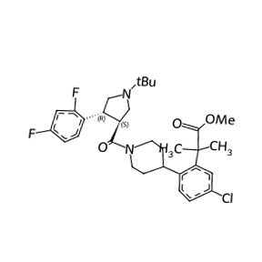 COC(=O)C(C)(C)c1cc(Cl)ccc1C1CCN(C(=O)[C@@H]2CN(C(C)(C)C)C[C@H]2c2ccc(F)cc2F)CC1